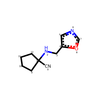 N#CC1(NCc2cnco2)CCCC1